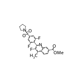 COC(=O)c1ccc2c(C)c(F)c(-c3c(F)cc(S(=O)(=O)N4CCCC4)cc3F)nc2c1